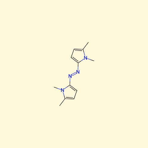 Cc1ccc(N=Nc2ccc(C)n2C)n1C